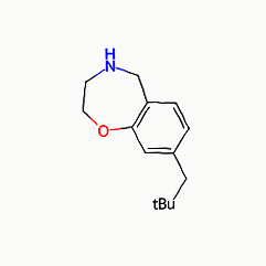 CC(C)(C)Cc1ccc2c(c1)OCCNC2